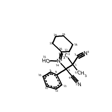 CC(C)(C#N)C(C#N)(c1ccccc1)[N+](O)=C1CCCCC1